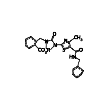 Cc1nc(N2CCN(Cc3ccccc3C(=O)O)C2=O)sc1C(=O)NCc1ccccc1